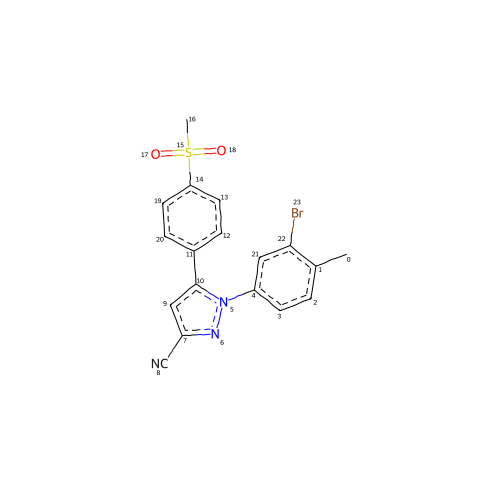 Cc1ccc(-n2nc(C#N)cc2-c2ccc(S(C)(=O)=O)cc2)cc1Br